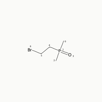 CP(C)(=O)CCBr